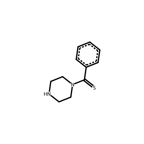 S=C(c1ccccc1)N1CCNCC1